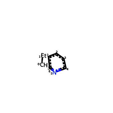 CCC.c1ccncc1